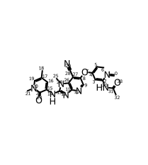 C=N/C(=C\C(=C/C)Oc1cnc2nc(Nc3cc(C)cn(C)c3=O)n(C)c2c1C#N)NC(C)=O